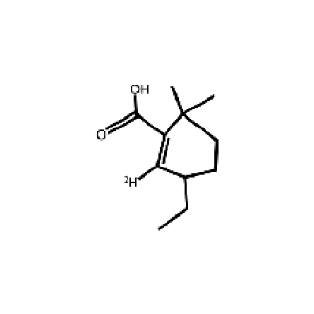 [2H]C1=C(C(=O)O)C(C)(C)CCC1CC